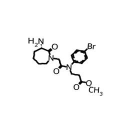 COC(=O)CCN(C(=O)CN1CCCC[C@H](N)C1=O)c1ccc(Br)cc1